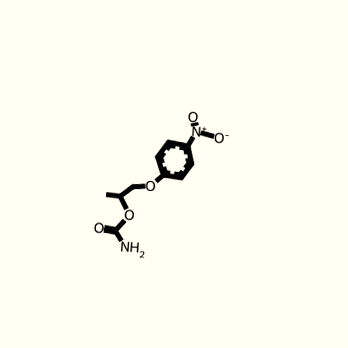 CC(COc1ccc([N+](=O)[O-])cc1)OC(N)=O